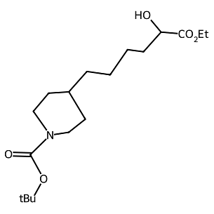 CCOC(=O)C(O)CCCCC1CCN(C(=O)OC(C)(C)C)CC1